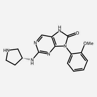 COc1ccccc1-n1c(=O)[nH]c2cnc(N[C@@H]3CCNC3)nc21